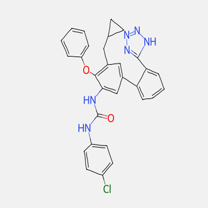 O=C(Nc1ccc(Cl)cc1)Nc1cc(-c2ccccc2-c2nnn[nH]2)cc(CC2CC2)c1Oc1ccccc1